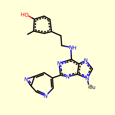 CCC(C)n1cnc2c(NCCc3ccc(O)c(C)c3)nc(C3=CN=CC4=NC4=C3)nc21